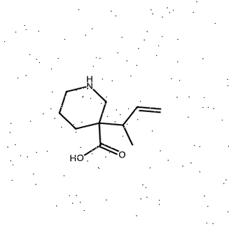 C=CC(C)C1(C(=O)O)CCCNC1